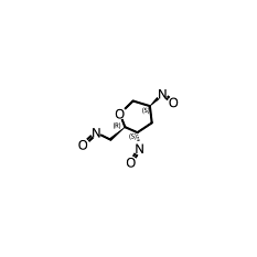 O=NC[C@H]1OC[C@@H](N=O)C[C@@H]1N=O